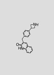 O=c1[nH]c2ccccc2cc1Cc1ccc(C2CNC2)cc1